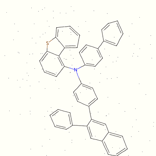 c1ccc(-c2ccc(N(c3ccc(-c4cc5ccccc5cc4-c4ccccc4)cc3)c3cccc4sc5ccccc5c34)cc2)cc1